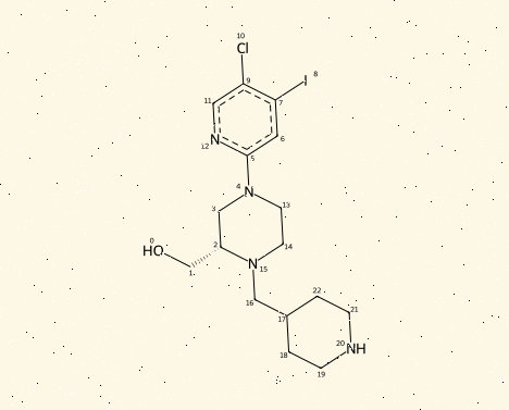 OC[C@@H]1CN(c2cc(I)c(Cl)cn2)CCN1CC1CCNCC1